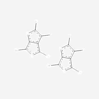 Fc1sc2c(Br)sc(Br)c2c1F.Fc1sc2c(Br)sc(Br)c2c1F